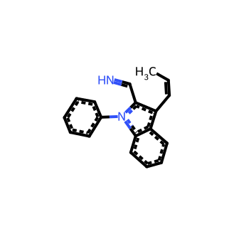 C/C=C\c1c(C=N)n(-c2ccccc2)c2ccccc12